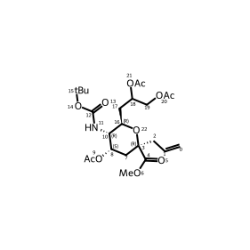 C=CC[C@]1(C(=O)OC)C[C@H](OC(C)=O)[C@H](NC(=O)OC(C)(C)C)[C@@H](CC(COC(C)=O)OC(C)=O)O1